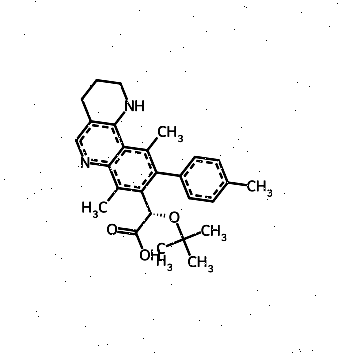 Cc1ccc(-c2c([C@H](OC(C)(C)C)C(=O)O)c(C)c3ncc4c(c3c2C)NCCC4)cc1